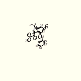 CCn1cc(C(=O)C(=O)OC)c2c(OCc3ccccc3)cc(F)cc21